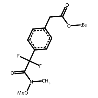 CON(C)C(=O)C(F)(F)c1ccc(CC(=O)OC(C)(C)C)cc1